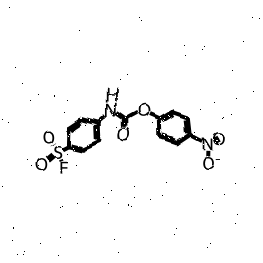 O=C(Nc1ccc(S(=O)(=O)F)cc1)Oc1ccc([N+](=O)[O-])cc1